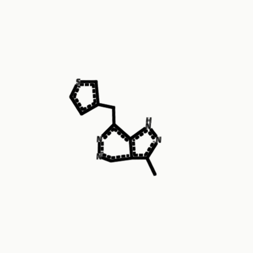 Cc1n[nH]c2c(Cc3ccsc3)nncc12